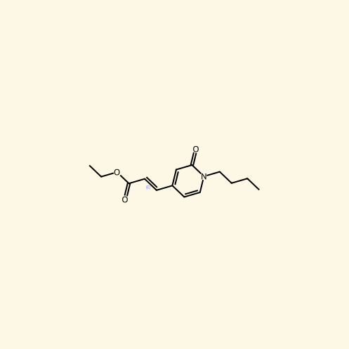 CCCCn1ccc(/C=C/C(=O)OCC)cc1=O